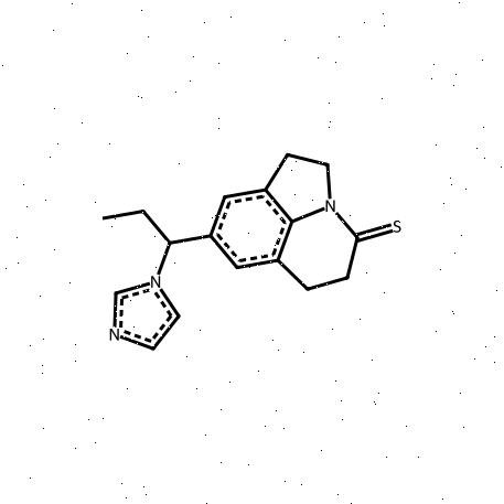 CCC(c1cc2c3c(c1)CCN3C(=S)CC2)n1ccnc1